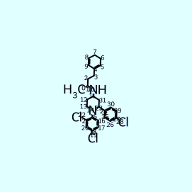 CC(CCC1=CCCC=C1)NC1CCN(c2ccc(Cl)cc2Cl)C(c2ccc(Cl)cc2)C1